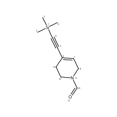 C[Si](C)(C)C#CC1=CCN(C=O)CC1